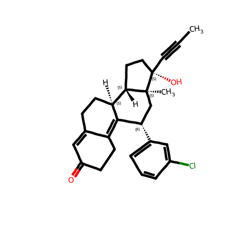 CC#C[C@]1(O)CC[C@H]2[C@@H]3CCC4=CC(=O)CCC4=C3[C@@H](c3cccc(Cl)c3)C[C@@]21C